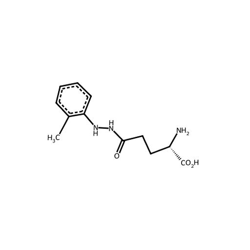 Cc1ccccc1NNC(=O)CC[C@H](N)C(=O)O